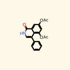 CC(=O)Oc1cc(OC(C)=O)c2c(-c3ccccc3)c[nH]c(=O)c2c1